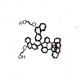 OCCOc1cc2ccc(C3(c4ccc5cc(OCCO)c6ccccc6c5c4)c4cccc(-c5cc6ccccc6c6ccccc56)c4-c4c(-c5cc6ccccc6c6ccccc56)cccc43)cc2c2ccccc12